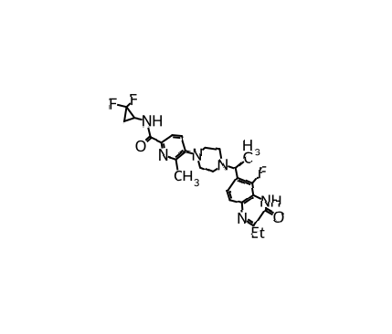 CCc1nc2ccc(C(C)N3CCN(c4ccc(C(=O)NC5CC5(F)F)nc4C)CC3)c(F)c2[nH]c1=O